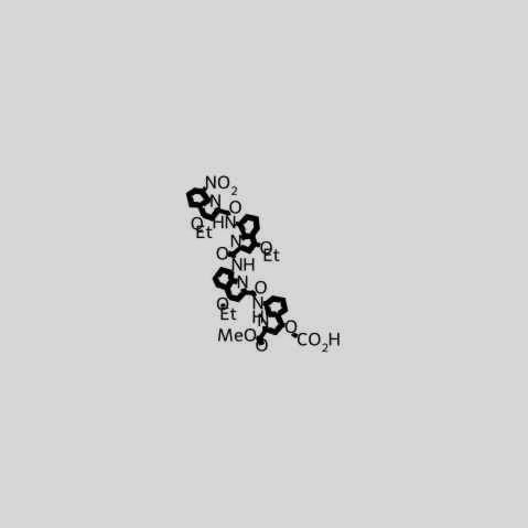 CCOc1cc(C(=O)Nc2cccc3c(OCC(=O)O)cc(C(=O)OC)nc23)nc2c(NC(=O)c3cc(OCC)c4cccc(NC(=O)c5cc(OCC)c6cccc([N+](=O)[O-])c6n5)c4n3)cccc12